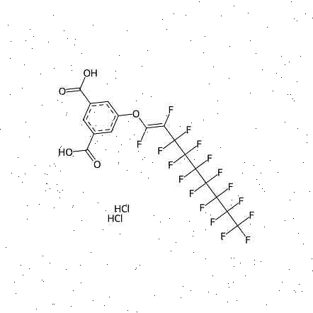 Cl.Cl.O=C(O)c1cc(OC(F)=C(F)C(F)(F)C(F)(F)C(F)(F)C(F)(F)C(F)(F)C(F)(F)C(F)(F)F)cc(C(=O)O)c1